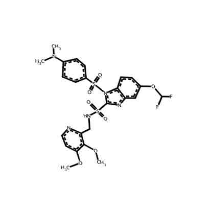 COc1ccnc(CNS(=O)(=O)c2nc3cc(OC(F)F)ccc3n2S(=O)(=O)c2ccc(N(C)C)cc2)c1OC